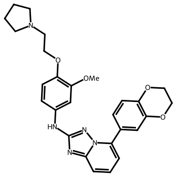 COc1cc(Nc2nc3cccc(-c4ccc5c(c4)OCCO5)n3n2)ccc1OCCN1CCCC1